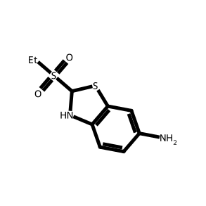 CCS(=O)(=O)C1Nc2ccc(N)cc2S1